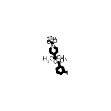 CC(C)(C)OC(=O)N1CCC(C(C)(C)OC(=O)c2cccc(I)c2)CC1